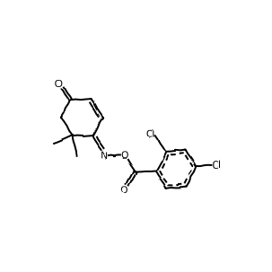 CC1(C)CC(=O)C=C/C1=N\OC(=O)c1ccc(Cl)cc1Cl